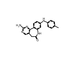 Cc1ccc(Nc2ccc3c(c2)NC(=O)Cc2cnc(N)nc2-3)cc1